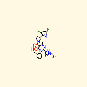 C=C1N=C(c2ccn(CC(C)C)n2)N(c2c(CC)cccc2CC)C(O)=C1C(=O)N1CCC(c2ncc(F)cc2F)C1